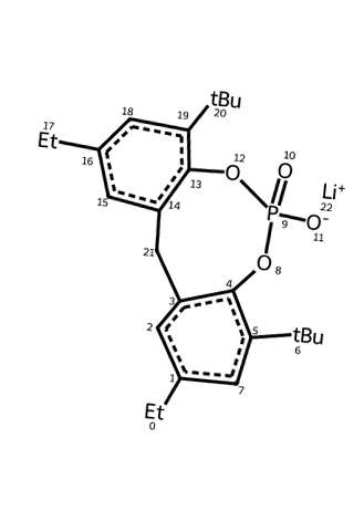 CCc1cc2c(c(C(C)(C)C)c1)OP(=O)([O-])Oc1c(cc(CC)cc1C(C)(C)C)C2.[Li+]